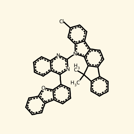 CC1(C)c2ccccc2-c2ccc3c4ccc(Cl)cc4n(-c4nc(-c5cccc6c5oc5ccccc56)c5ccccc5n4)c3c21